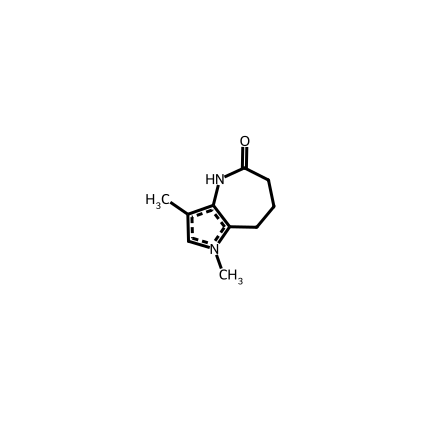 Cc1cn(C)c2c1NC(=O)CCC2